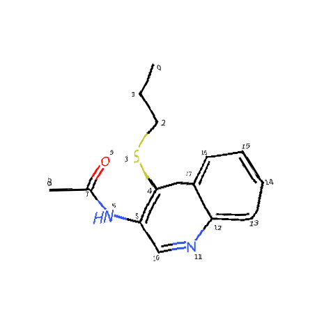 CCCSc1c(NC(C)=O)cnc2ccccc12